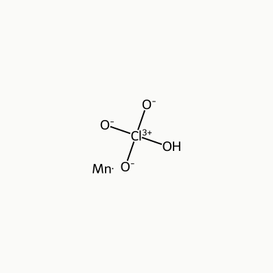 [Mn].[O-][Cl+3]([O-])([O-])O